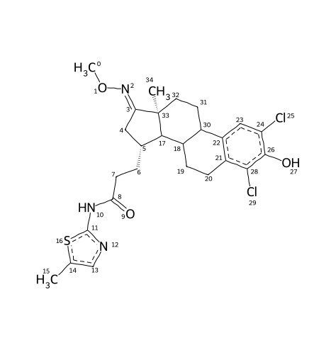 CO/N=C1\C[C@@H](CCC(=O)Nc2ncc(C)s2)C2C3CCc4c(cc(Cl)c(O)c4Cl)C3CC[C@]12C